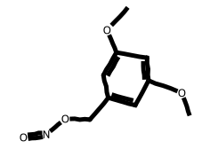 COc1cc(CON=O)cc(OC)c1